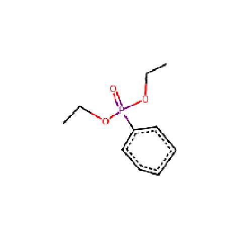 CCOP(=O)(OCC)c1ccccc1